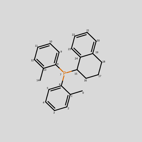 Cc1ccccc1P(c1ccccc1C)C1CCCc2ccccc21